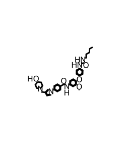 CCCCCNC(=O)Nc1ccc(Oc2ccc(NC(=O)c3ccc(-n4ccc(CN5CCC(O)CC5)c4)cc3)cc2OC)cc1